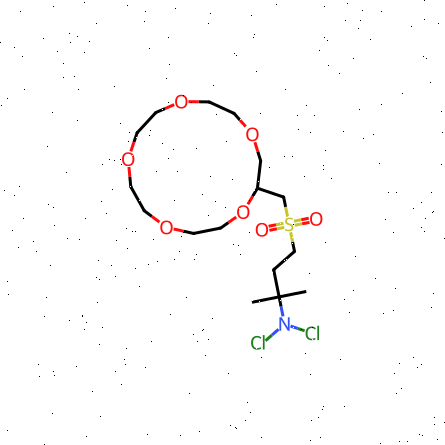 CC(C)(CCS(=O)(=O)CC1COCCOCCOCCOCCO1)N(Cl)Cl